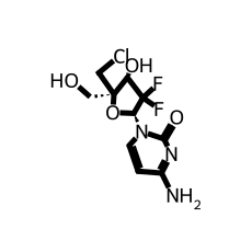 Nc1ccn([C@@H]2O[C@@](CO)(CCl)[C@@H](O)C2(F)F)c(=O)n1